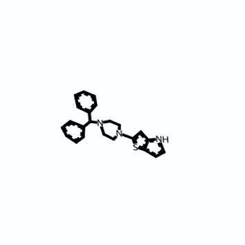 c1ccc(C(c2ccccc2)N2CCN(c3cc4[nH]ccc4s3)CC2)cc1